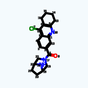 O=C(c1ccc2c(Cl)c3c(nc2c1)CCCC3)N1CC2CCC(C1)N2